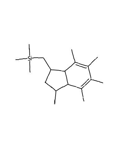 CC1=C(C)C2C(C)CC(C[Si](C)(C)C)C2C(C)=C1C